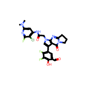 CN(C)c1cc(NC(=O)Cn2cc(-c3cc(C=O)c(O)c(F)c3F)c3c(=O)n4c(nc32)CCC4)c(Cl)c(F)n1